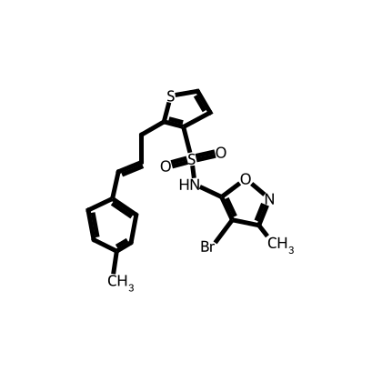 Cc1ccc(/C=C/Cc2sccc2S(=O)(=O)Nc2onc(C)c2Br)cc1